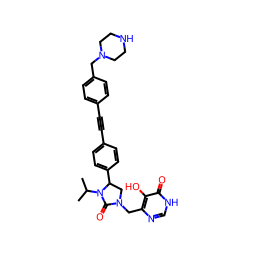 CC(C)N1C(=O)N(Cc2nc[nH]c(=O)c2O)CC1c1ccc(C#Cc2ccc(CN3CCNCC3)cc2)cc1